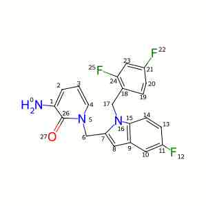 Nc1cccn(Cc2cc3cc(F)ccc3n2Cc2ccc(F)cc2F)c1=O